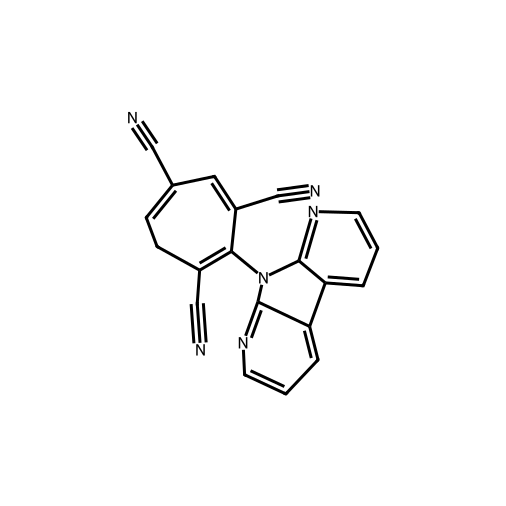 N#CC1=CCC(C#N)=C(n2c3ncccc3c3cccnc32)C(C#N)=C1